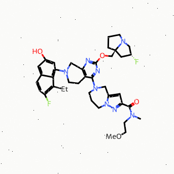 CCc1c(F)ccc2cc(O)cc(N3CCc4c(nc(OC[C@@]56CCCN5C[C@H](F)C6)nc4N4CCCn5nc(C(=O)N(C)CCOC)cc5C4)C3)c12